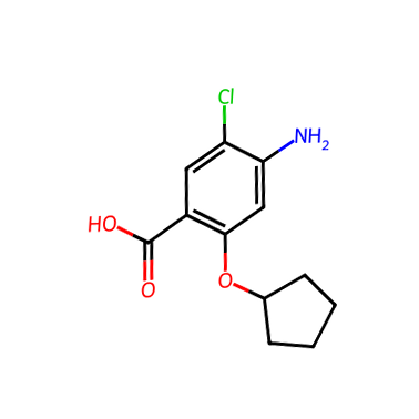 Nc1cc(OC2CCCC2)c(C(=O)O)cc1Cl